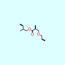 C=CCOCC(=C)C(=O)OCC(C)C=C